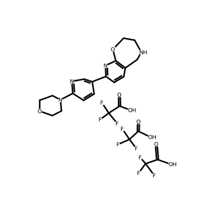 O=C(O)C(F)(F)F.O=C(O)C(F)(F)F.O=C(O)C(F)(F)F.c1cc(N2CCOCC2)ncc1-c1ccc2c(n1)OCCNC2